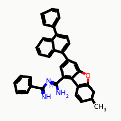 CC1C=Cc2c(oc3cc(-c4ccc(-c5ccccc5)c5ccccc45)cc(/C(N)=N/C(=N)c4ccccc4)c23)C1